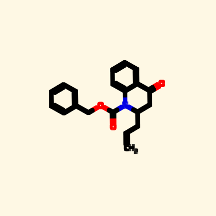 C=CCC1CC(=O)c2ccccc2N1C(=O)OCc1ccccc1